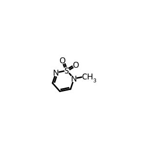 CN1C=CC=NS1(=O)=O